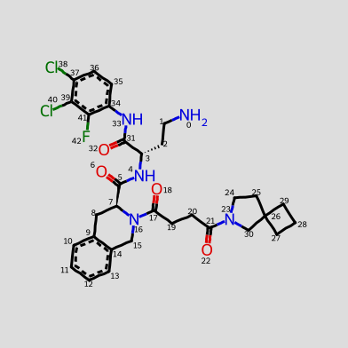 NCC[C@H](NC(=O)[C@@H]1Cc2ccccc2CN1C(=O)CCC(=O)N1CCC2(CCC2)C1)C(=O)Nc1ccc(Cl)c(Cl)c1F